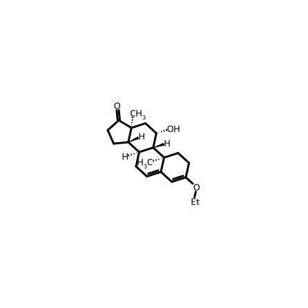 CCOC1=CC2=CC[C@@H]3[C@H]([C@@H](O)C[C@]4(C)C(=O)CC[C@@H]34)[C@@]2(C)CC1